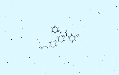 NCCN1CCN(C2CCN(C(=O)c3cccc(C(F)(F)F)c3)C(Cc3ccccc3)C2)CC1